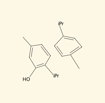 Cc1ccc(C(C)C)c(O)c1.Cc1ccc(C(C)C)cc1